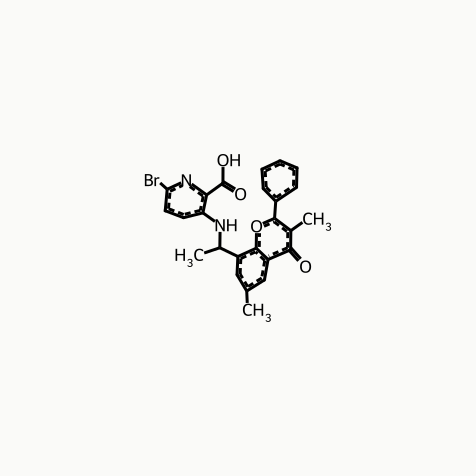 Cc1cc(C(C)Nc2ccc(Br)nc2C(=O)O)c2oc(-c3ccccc3)c(C)c(=O)c2c1